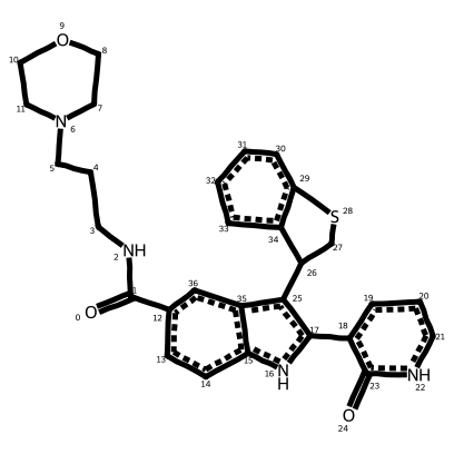 O=C(NCCCN1CCOCC1)c1ccc2[nH]c(-c3ccc[nH]c3=O)c(C3CSc4ccccc43)c2c1